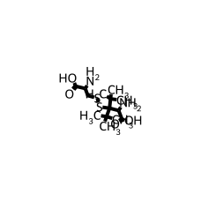 CC(C)(C)C(SSCC(N)C(=O)O)(C(N)C(=O)O)C(C)(C)C